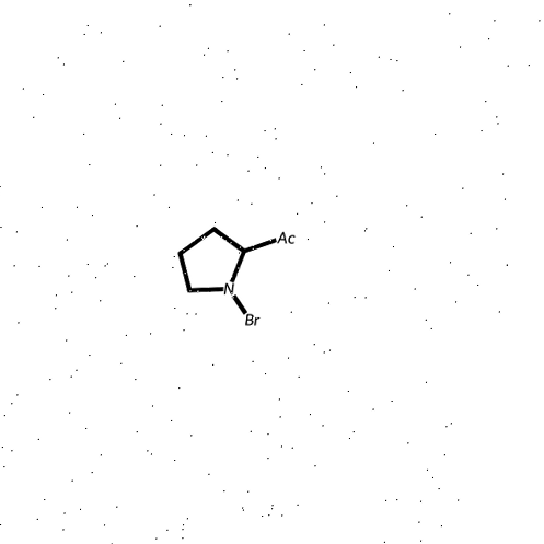 CC(=O)C1CCCN1Br